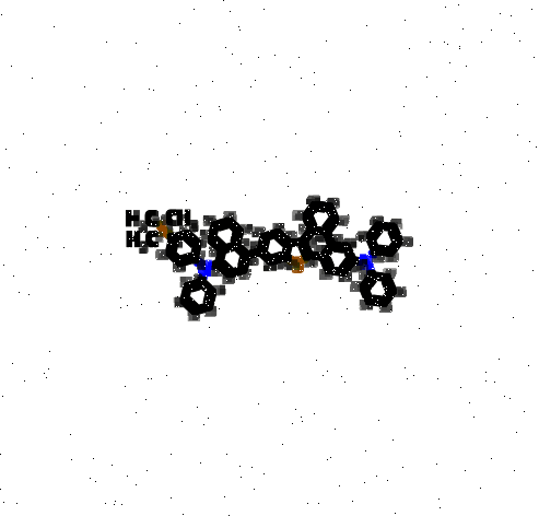 CS(C)(C)c1ccc(N(c2ccccc2)c2ccc(-c3ccc4c(c3)sc3c5ccc(N(c6ccccc6)c6ccccc6)cc5c5ccccc5c43)c3ccccc23)cc1